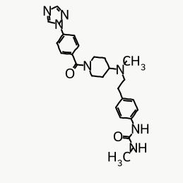 CNC(=O)Nc1ccc(CCN(C)C2CCN(C(=O)c3ccc(-n4cncn4)cc3)CC2)cc1